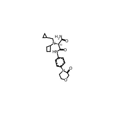 NC(=O)[C@@H](C(=O)Nc1ccc(N2CCOCC2=O)cc1)N(CC1CC1)C1CCC1